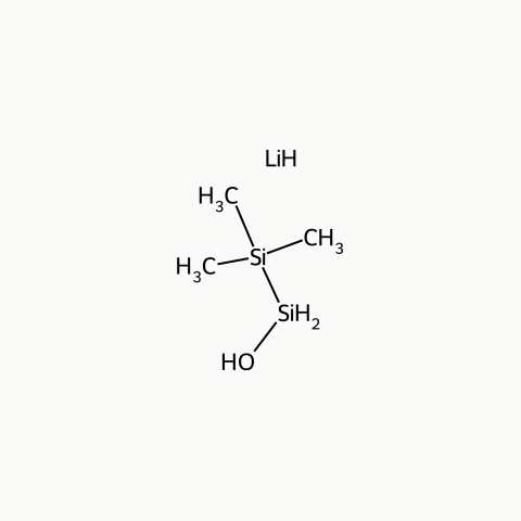 C[Si](C)(C)[SiH2]O.[LiH]